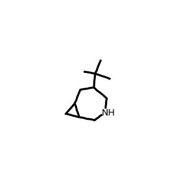 CC(C)(C)C1CNCC2CC2C1